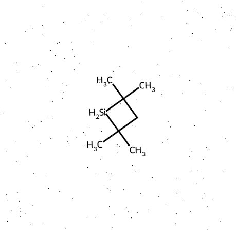 CC1(C)CC(C)(C)[SiH2]1